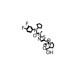 CN(C(=O)N(c1ccc(F)c(F)c1)C1CCCC1)c1ncc(S(=O)(=O)N2CCCC2C(=O)O)s1